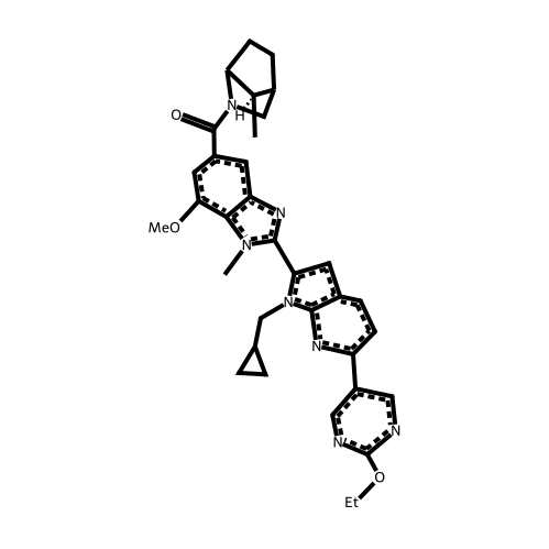 CCOc1ncc(-c2ccc3cc(-c4nc5cc(C(=O)N6CC7CCC6[C@@H]7C)cc(OC)c5n4C)n(CC4CC4)c3n2)cn1